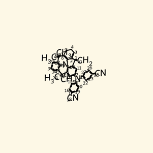 C=C1C2=CCCC3=C2N2c4c1cc(N(c1ccc(C#N)cc1)c1ccc(C#N)cc1)cc4C(C)(C)c1cccc(c12)C3(C)C